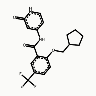 O=C(Nc1cc[nH]c(=O)c1)c1cc(C(F)(F)F)ccc1OCC1CCCC1